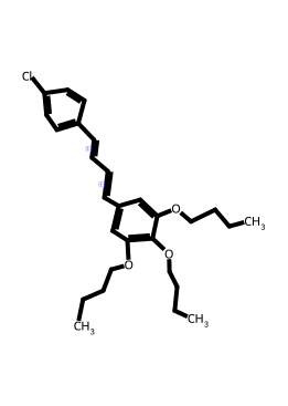 CCCCOc1cc(/C=C/C=C/c2ccc(Cl)cc2)cc(OCCCC)c1OCCCC